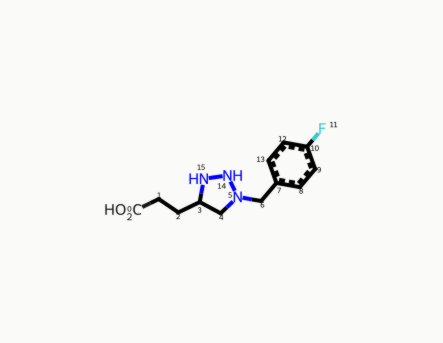 O=C(O)CCC1CN(Cc2ccc(F)cc2)NN1